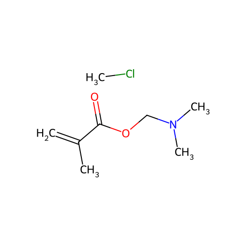 C=C(C)C(=O)OCN(C)C.CCl